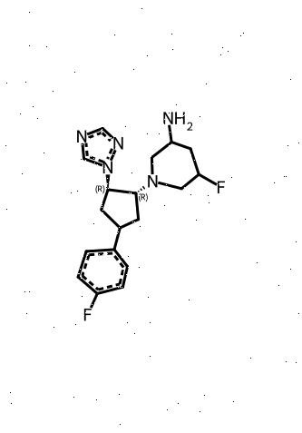 NC1CC(F)CN([C@@H]2CC(c3ccc(F)cc3)C[C@H]2n2cncn2)C1